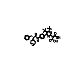 CC(C)(C)c1nc(N(C(=O)O)C(=O)O)nc(-c2ccc(NC(=O)[C@@H](Cc3ccccc3)N3CCOCC3)cc2)c1C(C)(C)C